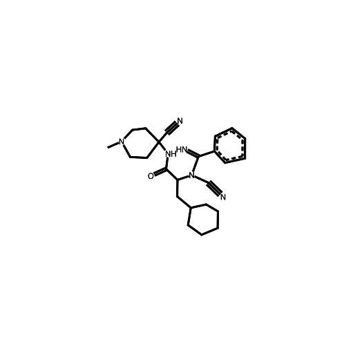 CN1CCC(C#N)(NC(=O)C(CC2CCCCC2)N(C#N)C(=N)c2ccccc2)CC1